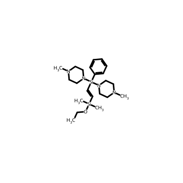 CCO[Si](C)(C)C=C[Si](c1ccccc1)(N1CCN(C)CC1)N1CCN(C)CC1